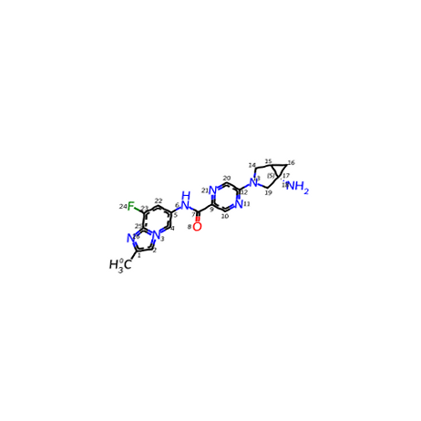 Cc1cn2cc(NC(=O)c3cnc(N4CC5C[C@@]5(N)C4)cn3)cc(F)c2n1